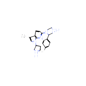 CC(=O)c1ccc(C2CNCCN2c2ccc3c(C#N)cn([C@H]4CCNC4)c3n2)cc1